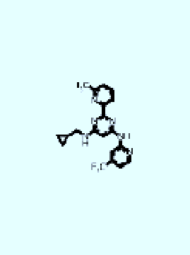 Cc1cccc(-c2nc(NCC3CC3)cc(Nc3cc(C(F)(F)F)ccn3)n2)n1